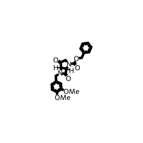 COc1ccc(CN2C(=O)[C@@H]3[C@H]2C(=O)CN3C(=O)OCc2ccccc2)cc1OC